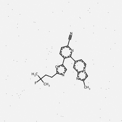 Cc1cn2ccc(-c3nc(C#N)ccc3-c3cnc(CCC(C)(C)F)o3)cc2n1